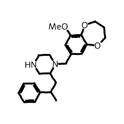 COc1cc(CN2CCNCC2CC(C)c2ccccc2)cc2c1OCCCO2